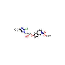 CC(C)(C)OC(=O)N1CCCc2cc(OC[C@H](O)CCn3cc([N+](=O)[O-])nc3Cl)ccc2C1